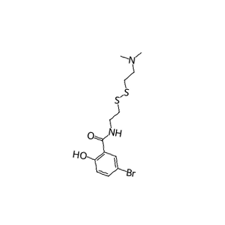 CN(C)CCSSCCNC(=O)c1cc(Br)ccc1O